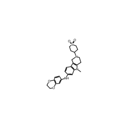 Cn1c2c(c3ccc(Nc4ccc5c(c4)OCCO5)cc31)CN(C1CCS(=O)(=O)CC1)CC2